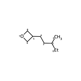 CCC(C)CCC1COC1